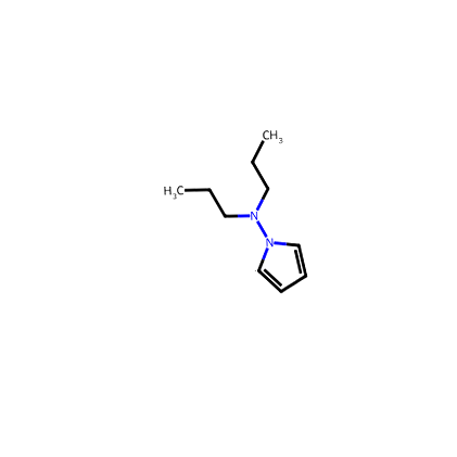 CCCN(CCC)n1[c]ccc1